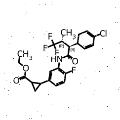 CCOC(=O)C1CC1c1ccc(F)c(NC(=O)[C@H](C2C=CC(Cl)=CC2)[C@@H](C)C(F)(F)F)c1